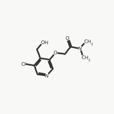 CN(C)C(=O)COc1cncc(Cl)c1CO